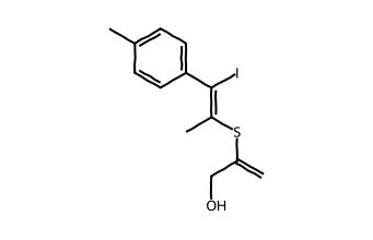 C=C(CO)S/C(C)=C(\I)c1ccc(C)cc1